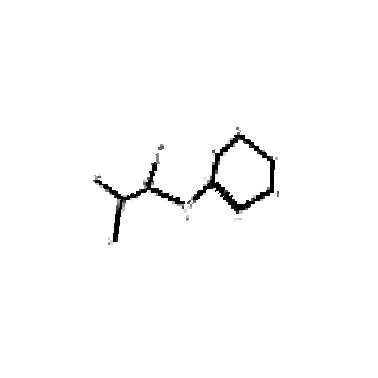 CC(C)C(I)OC1CCCCC1